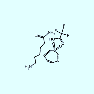 NCCCCCC(N)=O.O=C(O)C(F)(F)F.O=S1(=O)C=CC=CN=N1